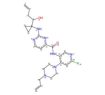 C=CCC(O)C1(Nc2nccc(C(=O)Nc3cnc(F)cc3N3CCN(CC=C)CC3)n2)CC1